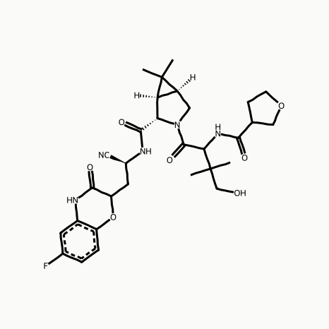 CC(C)(CO)C(NC(=O)C1CCOC1)C(=O)N1C[C@H]2[C@@H]([C@H]1C(=O)N[C@H](C#N)CC1Oc3ccc(F)cc3NC1=O)C2(C)C